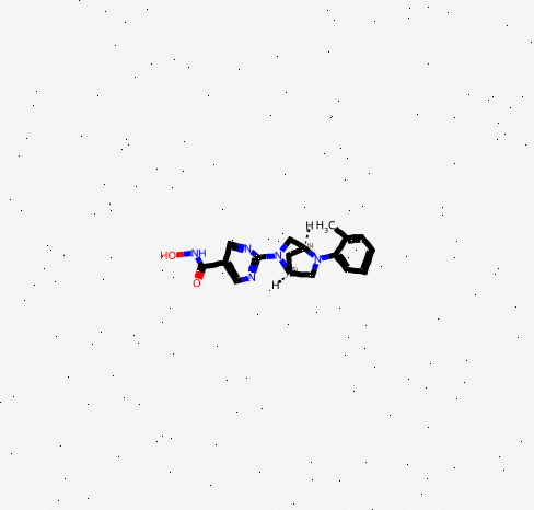 Cc1ccccc1N1C[C@@H]2C[C@H]1CN2c1ncc(C(=O)NO)cn1